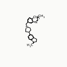 C=C/C=N\c1cc(CN2CCC(c3ccc4c(c3)CCC4=C)CC2)ccc1C